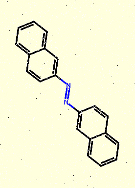 c1ccc2cc(N=Nc3ccc4ccccc4c3)ccc2c1